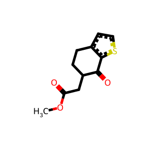 COC(=O)CC1CCc2ccsc2C1=O